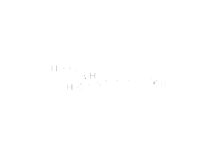 CC(C)(CCCCCCCCCCCCO)CCC(=O)O